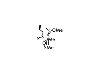 C=CCS(=S)OC.COS(C)=S.CSO